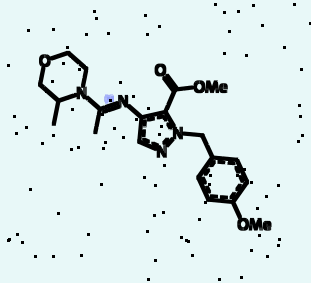 COC(=O)c1c(/N=C(\C)N2CCOCC2C)cnn1Cc1ccc(OC)cc1